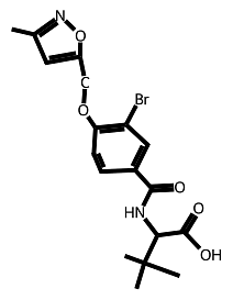 Cc1cc(COc2ccc(C(=O)NC(C(=O)O)C(C)(C)C)cc2Br)on1